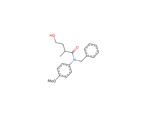 COc1ccc(N(Cc2ccccc2)C(=O)C(C)CCO)cc1